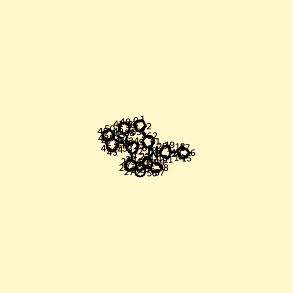 c1ccc(-c2ccc(N(c3ccc(-c4ccccc4)cc3)c3cc4c(oc5cccc(-c6cccc(N(c7ccccc7)c7cccc8ccccc78)c6)c54)c4ccccc34)cc2)cc1